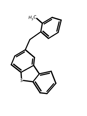 Cc1ccccc1Cc1ccc2sc3ccccc3c2c1